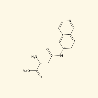 COC(=O)C(N)CC(=O)Nc1ccc2cnccc2c1